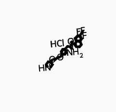 Cl.NCC(Cc1ccc(OCCOC2CCNCC2)cc1)C(=O)N1CCCc2cc(C(F)(F)F)ccc21